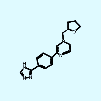 C1=NC(c2ccc(-c3nnc[nH]3)cc2)=CN(C[C@H]2CCCO2)C1